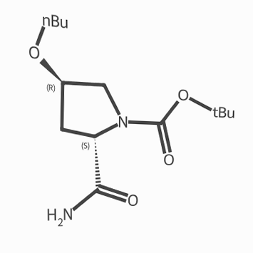 CCCCO[C@@H]1C[C@@H](C(N)=O)N(C(=O)OC(C)(C)C)C1